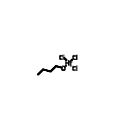 CCCC[O][Hf]([Cl])([Cl])[Cl]